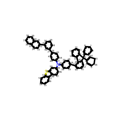 C1=CC(C2(c3ccccc3)c3ccccc3-c3c(-c4ccc(N(c5ccc(-c6cccc(-c7ccc8ccccc8c7)c6)cc5)c5ccc6c(c5)sc5ccccc56)cc4)cccc32)=CCC1